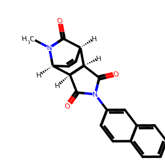 CN1C(=O)[C@@H]2C=C[C@H]1[C@@H]1C(=O)N(c3ccc4ccccc4c3)C(=O)[C@@H]12